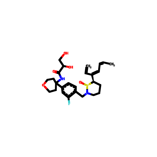 C=C/C(=C\C=C/C)[C@H]1CCCN(Cc2ccc(C3(NC(=O)C(O)CO)CCOCC3)cc2F)[S+]1[O-]